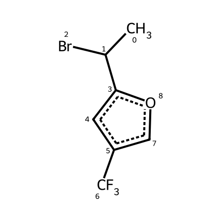 CC(Br)c1cc(C(F)(F)F)co1